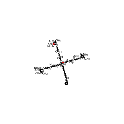 CC(=O)N[C@H]1C(OC(C)=O)[C@H](OC(C)=O)C(COC(C)=O)O[C@H]1OCCCCC(=O)NCCCNC(=O)CCOCC(COCCC(=O)NCCCNC(=O)CCCCO[C@@H]1OC(COC(C)=O)[C@@H](OC(C)=O)C(OC(C)=O)[C@@H]1NC(C)=O)(COCCC(=O)NCCCNC(=O)CCCCO[C@@H]1OC(COC(C)=O)[C@@H](OC(C)=O)C(OC(C)=O)[C@@H]1NC(C)=O)NC(=O)CCCCCCCCCCC(=O)OCc1ccccc1